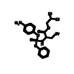 CCC(CC)COC(=O)C(CC(C)C)NP(=O)(Oc1ccccc1)Oc1ccc([N+](=O)[O-])cc1